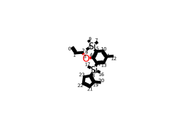 C=CCOc1c([Si](C)(C)C)cc(C)cc1[Si](C)(C)C1=C(C)C=CC1